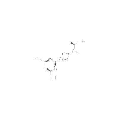 CN(C(=O)O)C1CN(c2cc(Cl)nc(N)n2)C1